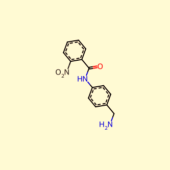 NCc1ccc(NC(=O)c2ccccc2[N+](=O)[O-])cc1